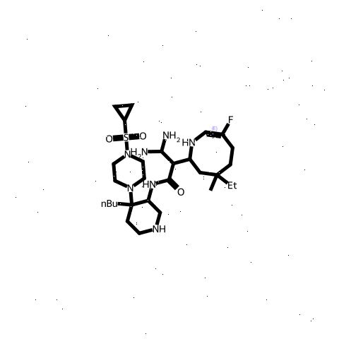 CCCCC1(N2CCN(S(=O)(=O)C3CC3)CC2)CCNCC1NC(=O)C(C(N)N)C1CC(C)(CC)CC/C(F)=C\N1